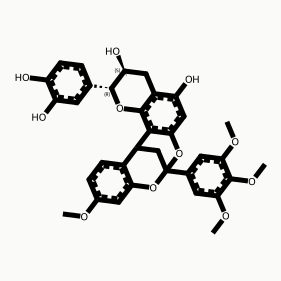 COc1ccc2c(c1)OC1(c3cc(OC)c(OC)c(OC)c3)CC2c2c(cc(O)c3c2O[C@H](c2ccc(O)c(O)c2)[C@@H](O)C3)O1